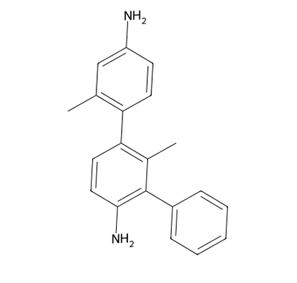 Cc1cc(N)ccc1-c1ccc(N)c(-c2ccccc2)c1C